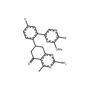 COc1nc(-c2cc(F)ccc2C2CC(=O)c3c(C)nc(N)nc3C2)cnc1F